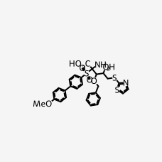 COc1ccc(-c2ccc(S(=O)(=O)C(N)(C(=O)O)C(OCc3ccccc3)C(O)CSc3nccs3)cc2)cc1